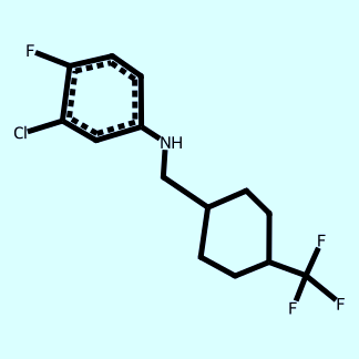 Fc1ccc(NCC2CCC(C(F)(F)F)CC2)cc1Cl